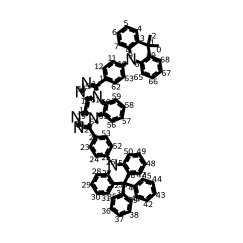 CC1(C)c2ccccc2N(c2ccc(-c3nnc4c5nnc(-c6ccc(N7c8ccccc8C(c8ccccc8)(c8ccccc8)c8ccccc87)cc6)n5c5ccccc5n34)cc2)c2ccccc21